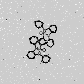 O=P1(c2ccc(P3(=O)N(c4ccccc4)c4ccccc4N3c3ccccc3)cc2)N(C2=CCCC=C2)c2ccccc2N1c1ccccc1